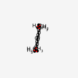 CC(C)(C)[Si](OCCOCCOCCOCCOC(=O)OCCOCCOCCOCCO[Si](c1ccccc1)(c1ccccc1)C(C)(C)C)(c1ccccc1)c1ccccc1